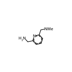 CNCc1cccc(CN)n1